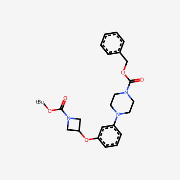 CC(C)(C)OC(=O)N1CC(Oc2cccc(N3CCN(C(=O)OCc4ccccc4)CC3)c2)C1